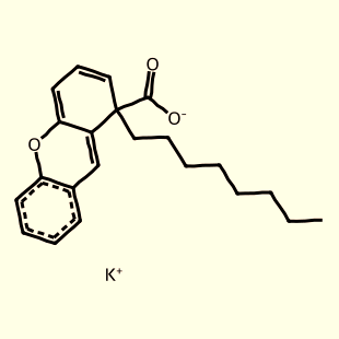 CCCCCCCCC1(C(=O)[O-])C=CC=C2Oc3ccccc3C=C21.[K+]